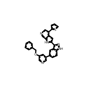 c1ccc(COc2cncc(-c3ccc4[nH]nc(-c5cc6c(-c7cccs7)cncc6[nH]5)c4c3)c2)cc1